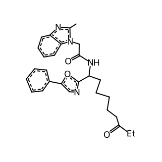 CCC(=O)CCCCCC(NC(=O)Cn1c(C)nc2ccccc21)c1ncc(-c2ccccc2)o1